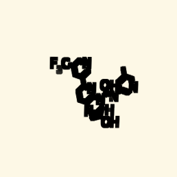 Cc1cncc(NC(=O)N2c3nc(-c4cncc(C(F)(F)F)c4)ccc3N3C[C@@H](O)[C@H]2C3)c1